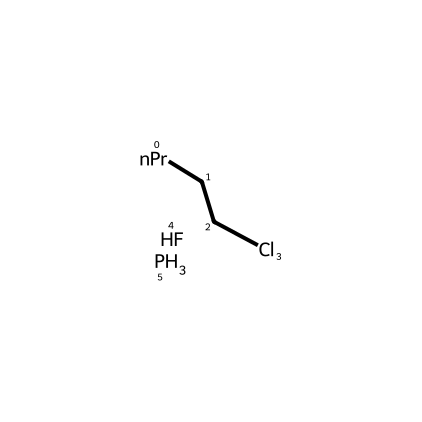 CCCCCCl.F.P